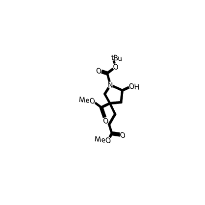 COC(=O)CCC1(C(=O)OC)CC(O)N(C(=O)OC(C)(C)C)C1